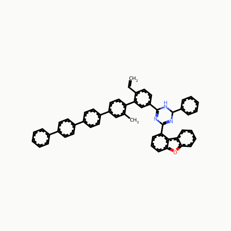 C=Cc1ccc(C2=NC(c3cccc4oc5ccccc5c34)=NC(c3ccccc3)N2)cc1-c1ccc(-c2ccc(-c3ccc(-c4ccccc4)cc3)cc2)cc1C